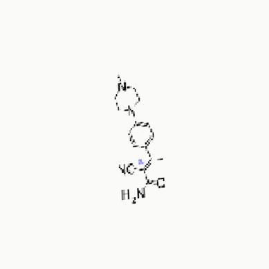 C/C(=C(/C#N)C(N)=O)c1ccc(N2CCN(C)CC2)cc1